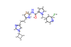 O=C(Nc1nc(/C=C/c2cn(C3CCC3)cn2)cs1)c1cccn1Cc1ccnc(F)c1